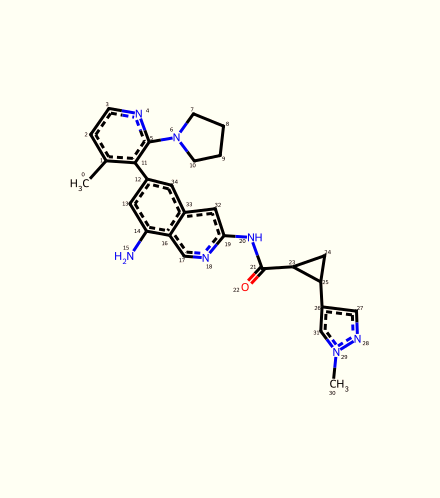 Cc1ccnc(N2CCCC2)c1-c1cc(N)c2cnc(NC(=O)C3CC3c3cnn(C)c3)cc2c1